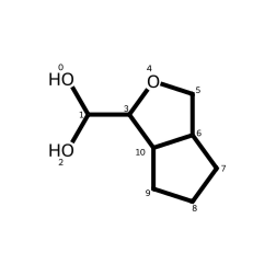 OC(O)C1OCC2CCCC21